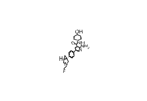 Nc1ncc(-c2ccc([C@@]34C[C@@H]3CN(CCF)C4)cc2)cc1C(=O)N[C@H]1CC[C@H](O)CC1